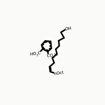 CCCCCCCC/C=C\CCCCCCCCO.O=C(O)c1ccccc1C(=O)O